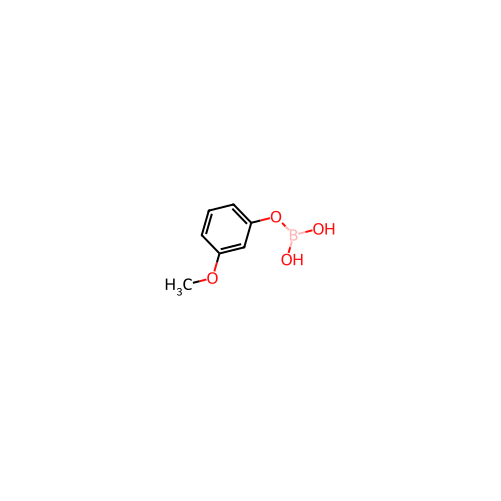 COc1cccc(OB(O)O)c1